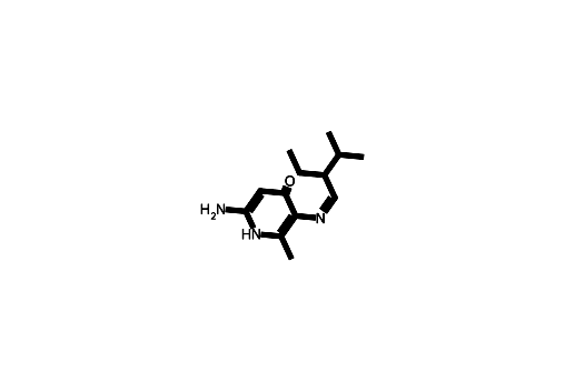 CCC(/C=N\c1c(C)[nH]c(N)cc1=O)C(C)C